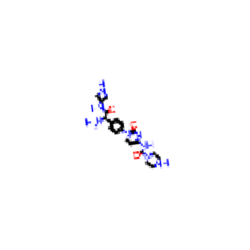 NC(C(=O)NC1CNC1)c1ccc(-n2ccc(NC(=O)N3CCNCC3)nc2=O)cc1